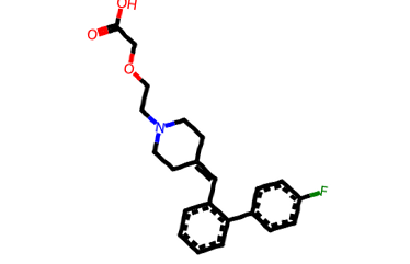 O=C(O)COCCN1CCC(=Cc2ccccc2-c2ccc(F)cc2)CC1